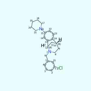 Clc1cccc(CN2CC[C@@H]3C[C@@H]2c2cc(N4CCCCC4)ccc23)c1